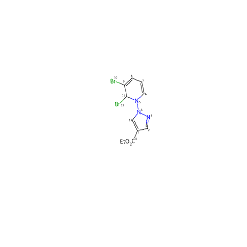 CCOC(=O)c1cnn(N2C=CC=C(Br)C2Br)c1